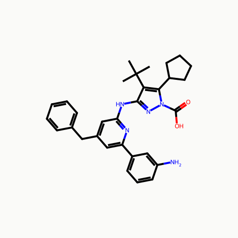 CC(C)(C)c1c(Nc2cc(Cc3ccccc3)cc(-c3cccc(N)c3)n2)nn(C(=O)O)c1C1CCCC1